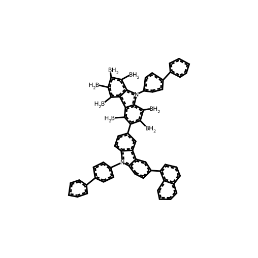 Bc1c(B)c(B)c2c(c1B)c1c(B)c(-c3ccc4c(c3)c3cc(-c5cccc6ccccc56)ccc3n4-c3ccc(-c4ccccc4)cc3)c(B)c(B)c1n2-c1ccc(-c2ccccc2)cc1